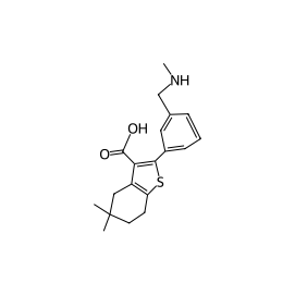 CNCc1cccc(-c2sc3c(c2C(=O)O)CC(C)(C)CC3)c1